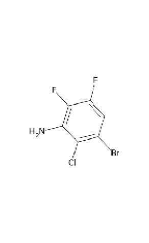 Nc1c(F)c(F)cc(Br)c1Cl